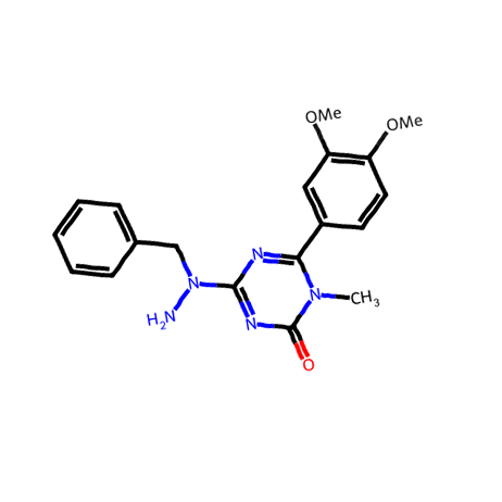 COc1ccc(-c2nc(N(N)Cc3ccccc3)nc(=O)n2C)cc1OC